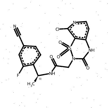 C[C@H](NC(=O)CN1C(=O)Nc2ccnc(Cl)c2S1(=O)=O)c1ccc(C#N)cc1F